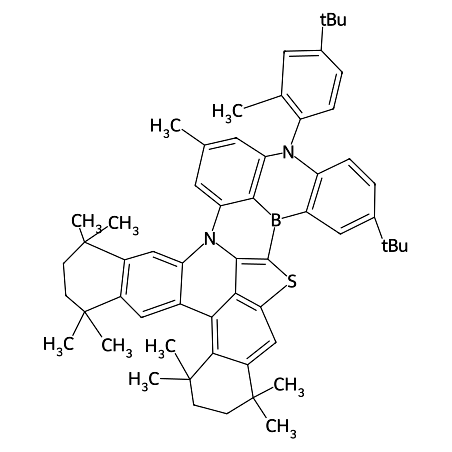 Cc1cc2c3c(c1)N1c4cc5c(cc4-c4c6c(cc7sc(c1c47)B3c1cc(C(C)(C)C)ccc1N2c1ccc(C(C)(C)C)cc1C)C(C)(C)CCC6(C)C)C(C)(C)CCC5(C)C